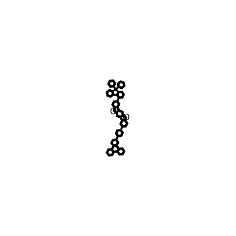 c1ccc(C2(c3ccccc3)c3ccccc3-c3c(-c4ccc5oc6cc7c(cc6c5c4)oc4ccc(-c5ccc(-c6ccc8c9ccccc9c9ccccc9c8c6)cc5)cc47)cccc32)cc1